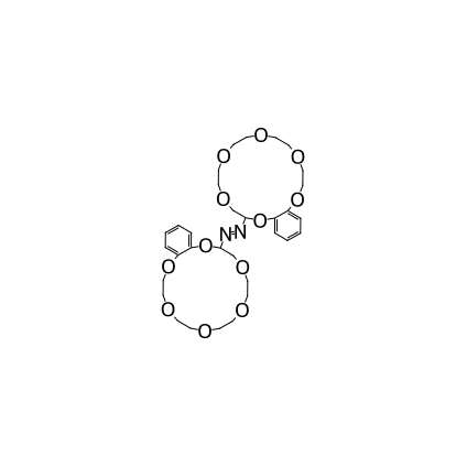 c1ccc2c(c1)OCCOCCOCCOCCOCC(N=NC1COCCOCCOCCOCCOc3ccccc3O1)O2